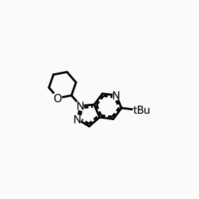 CC(C)(C)c1cc2cnn(C3CCCCO3)c2cn1